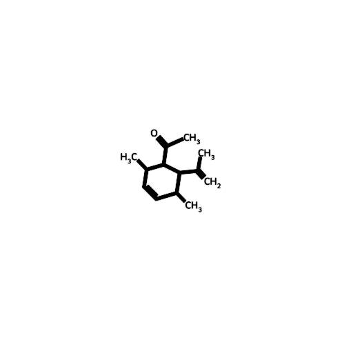 C=C(C)C1C(C)C=CC(C)C1C(C)=O